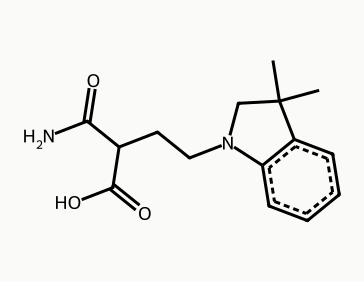 CC1(C)CN(CCC(C(N)=O)C(=O)O)c2ccccc21